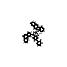 c1ccc(-c2ccc3c(-c4ccc5ccc6ccccc6c5c4)nc(-n4c5ccccc5c5cc6ccccc6cc54)nc3c2)cc1